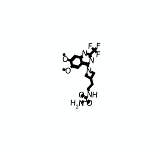 COc1cc2nc(C(F)(F)F)nc(N3CC(CCNS(N)(=O)=O)C3)c2cc1OC